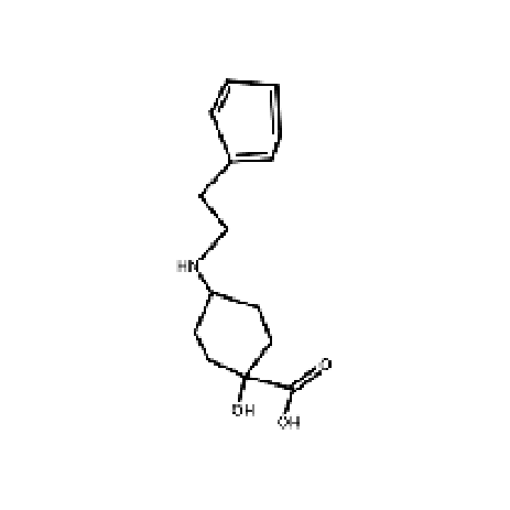 O=C(O)C1(O)CCC(NCCc2ccccc2)CC1